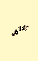 CC(C)(C)OC(=O)CNC(=S)Nc1ccc(C#N)cc1